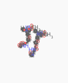 Cc1c(NS(C)(=O)=O)cccc1N(Cc1ccccc1)Cc1ccc(Oc2ccc(CCCC(=O)NC3CCOC3=O)cc2)cc1.Cc1c(NS(C)(=O)=O)cccc1N(Cc1ccccc1)Cc1ccc(Oc2cccc(OCC(=O)NCCCN3CCCC3=O)c2)cc1